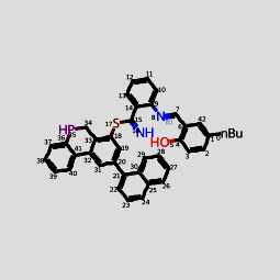 CCCCc1ccc(O)c(/C=N/c2ccccc2C(=N)Sc2cc(-c3cccc4ccccc34)cc3c2CPc2ccccc2-3)c1